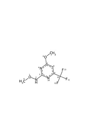 CONc1nc(OC)cc(C(F)(F)F)n1